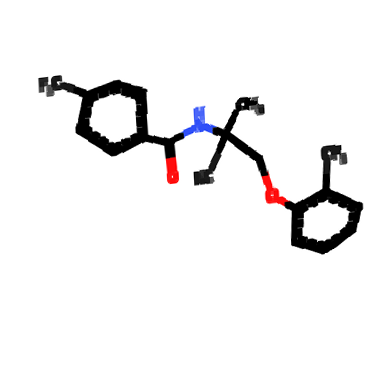 CC(C#N)(COc1ccccc1C(F)(F)F)NC(=O)c1ccc(C(F)(F)F)cc1